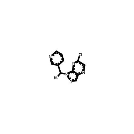 CCC(c1cccnc1)n1ncc2ncc(Cl)nc21